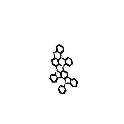 c1ccc(-n2c3ccccc3c3cc4c5c(c6ccccc6n5-c5ccc6c7c5B4c4ccccc4N7c4ccccc4S6)c32)cc1